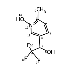 Cc1ccc(C(O)C(F)(F)F)c[n+]1O